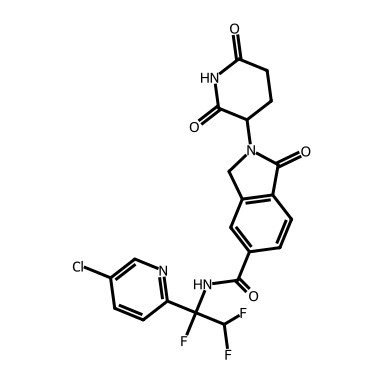 O=C1CCC(N2Cc3cc(C(=O)NC(F)(c4ccc(Cl)cn4)C(F)F)ccc3C2=O)C(=O)N1